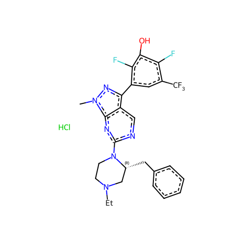 CCN1CCN(c2ncc3c(-c4cc(C(F)(F)F)c(F)c(O)c4F)nn(C)c3n2)[C@H](Cc2ccccc2)C1.Cl